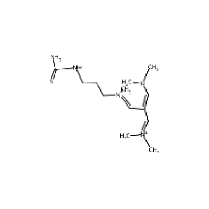 CN(C)/C=C(C=[N+](C)C)\C=[N+](/C)CCCNC(N)=S